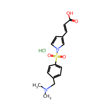 CN(C)Cc1ccc(S(=O)(=O)n2ccc(/C=C/C(=O)O)c2)cc1.Cl